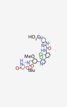 COc1cc(-c2nccc(-c3cccc(NC(=O)c4nc5c(n4C)CCN(C(=O)O)C5)c3Cl)c2Cl)ccc1CN(C[C@@H]1CCC(=O)N1)C(=O)OC(C)(C)C